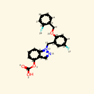 O=C(O)Oc1cccc2c1cnn2Cc1cc(F)ccc1OCc1ccccc1F